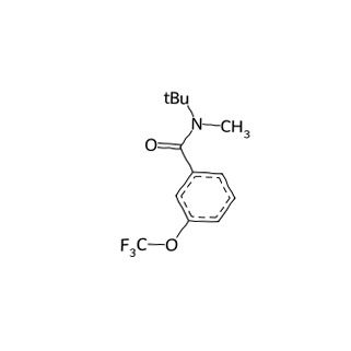 CN(C(=O)c1cccc(OC(F)(F)F)c1)C(C)(C)C